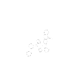 O=c1c2ccccc2sc2cc3c(cc12)-c1ccccc1C31c2ccccc2N(c2cccc(-c3ccccc3)c2)c2ccccc21